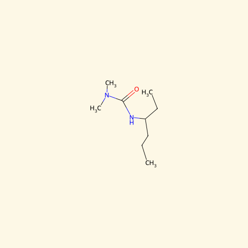 CCCC(CC)NC(=O)N(C)C